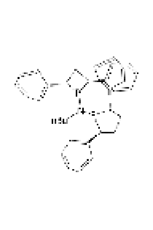 CCCCN(P1[C@H](c2ccccc2)CC[C@H]1c1ccccc1)P1[C@H](c2ccccc2)C[C@H]1c1ccccc1